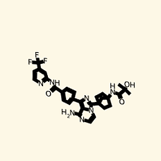 CC(C)(O)C(=O)NC12CCC(c3nc(-c4ccc(C(=O)Nc5cc(C(F)(F)F)ccn5)cc4)c4c(N)nccn34)(CC1)C2